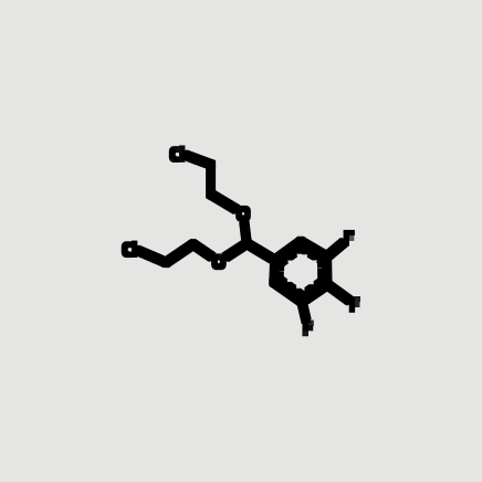 Fc1cc(C(OCCCl)OCCCl)cc(F)c1F